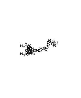 C=CCn1c(=O)c2cnc(Nc3ccc(N4CCN(CCCNC(=O)COc5ccc6c(ccc7occ(C8CCC(=O)NC8=O)c76)c5)CC4)cc3)nc2n1-c1cccc(C(C)(C)O)n1